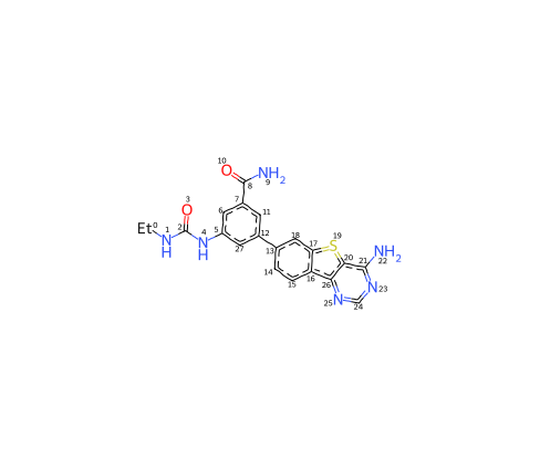 CCNC(=O)Nc1cc(C(N)=O)cc(-c2ccc3c(c2)sc2c(N)ncnc23)c1